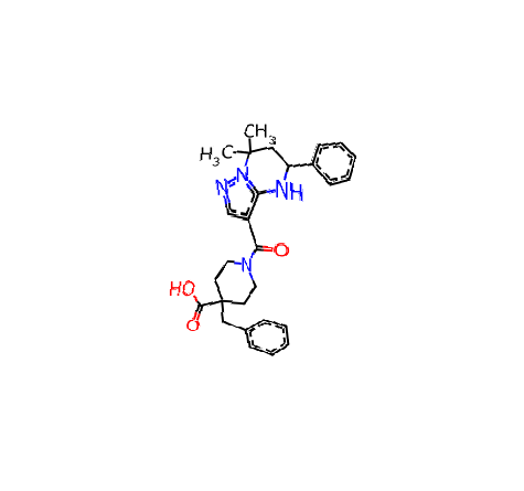 CC1(C)CC(c2ccccc2)Nc2c(C(=O)N3CCC(Cc4ccccc4)(C(=O)O)CC3)cnn21